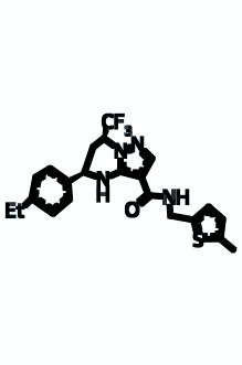 CCc1ccc([C@H]2C[C@@H](C(F)(F)F)n3ncc(C(=O)NCc4ccc(C)s4)c3N2)cc1